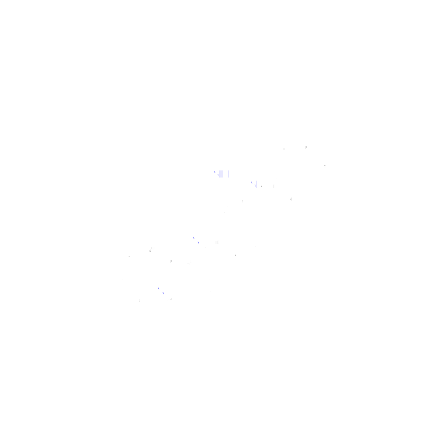 N=CC1=C(Nc2ccccc2F)CCCC1NC(=O)c1ccccn1